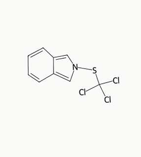 ClC(Cl)(Cl)Sn1cc2ccccc2c1